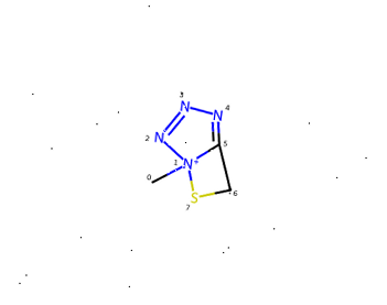 C[N+]12N=NN=C1[CH]S2